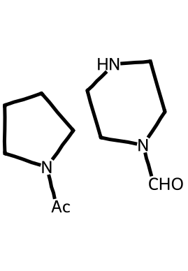 CC(=O)N1CCCC1.O=CN1CCNCC1